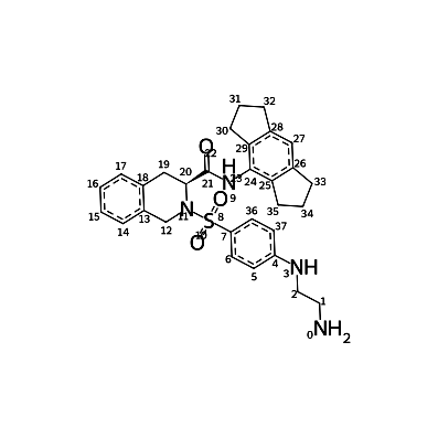 NCCNc1ccc(S(=O)(=O)N2Cc3ccccc3C[C@H]2C(=O)Nc2c3c(cc4c2CCC4)CCC3)cc1